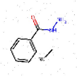 CC#N.NNC(=O)c1ccccc1